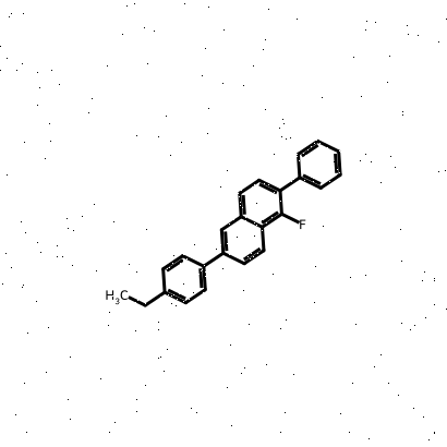 CCc1ccc(-c2ccc3c(F)c(-c4ccccc4)ccc3c2)cc1